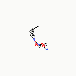 CC[C@@H]1C[C@@H](OP(OCCC#N)N(C(C)C)C(C)C)CN1C(=O)CCO/N=C1\CC[C@@]2(C)C(=CCC3C2CC[C@@]2(C)C3CC[C@@H]2[C@H](C)CCCC(C)C)C1